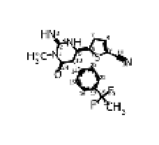 CN1C(=N)N/C(=C2\CC=C(C#N)S2)[C@H](c2ccc(C(C)(F)F)cc2)C1=O